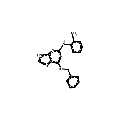 Nc1ccccc1Nc1nc(NCc2ccccc2)c2nc[nH]c2n1